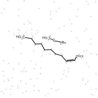 CCCCCCCC/C=C\CCCCCCCC(=O)O.CCCCOS(=O)(=O)O